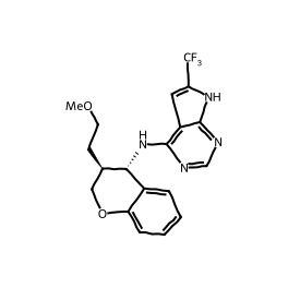 COCC[C@@H]1COc2ccccc2[C@H]1Nc1ncnc2[nH]c(C(F)(F)F)cc12